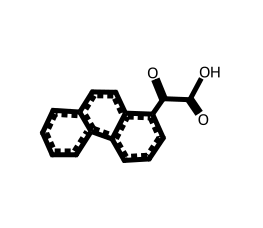 O=C(O)C(=O)c1cccc2c1ccc1ccccc12